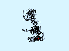 COC(=O)NC1C(=O)C[C@@]2(O)C#C/C=C\C#C[C@H](OC3OC(C)C(NOC4CC(O)C(SC(=O)c5c(C)c(I)c(OC6OC(C)C(O)C(OC)C6O)c(OC)c5OC)C(C)O4)C(O)C3O[C@@H]3CC(OC)C(NC(C)=O)CO3)C1/C2=C\CSSSC